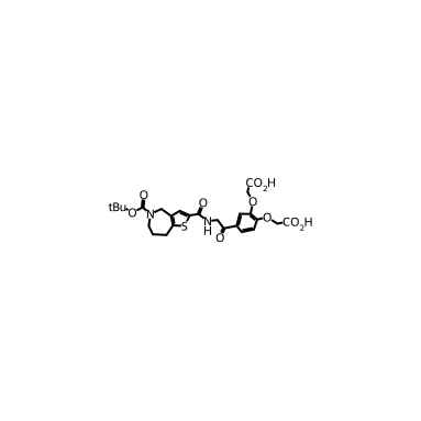 CC(C)(C)OC(=O)N1CCCc2sc(C(=O)NCC(=O)c3ccc(OCC(=O)O)c(OCC(=O)O)c3)cc2C1